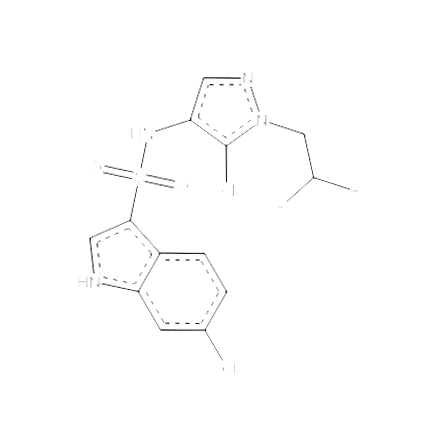 O=S(=O)(Nc1cnn(CC(F)F)c1Cl)c1c[nH]c2cc(Cl)ccc12